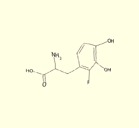 NC(Cc1ccc(O)c(O)c1F)C(=O)O